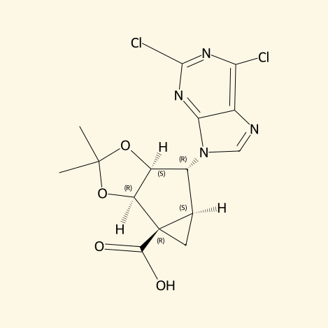 CC1(C)O[C@H]2[C@H](n3cnc4c(Cl)nc(Cl)nc43)[C@H]3C[C@]3(C(=O)O)[C@H]2O1